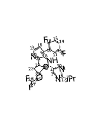 CC(C)c1ncc(C(=O)Nc2c(-c3cc(F)ccc3F)ccnc2C2CC(OC(F)F)C2)cn1